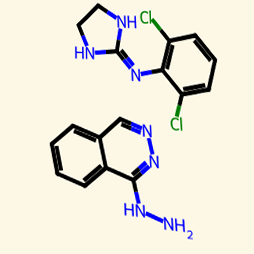 Clc1cccc(Cl)c1N=C1NCCN1.NNc1nncc2ccccc12